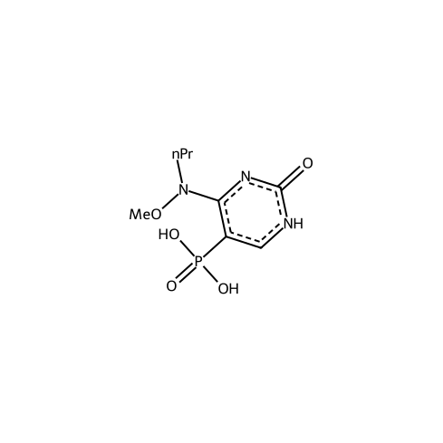 CCCN(OC)c1nc(=O)[nH]cc1P(=O)(O)O